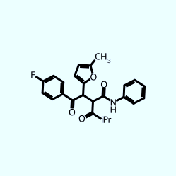 Cc1ccc(C(C(=O)c2ccc(F)cc2)C(C(=O)Nc2ccccc2)C(=O)C(C)C)o1